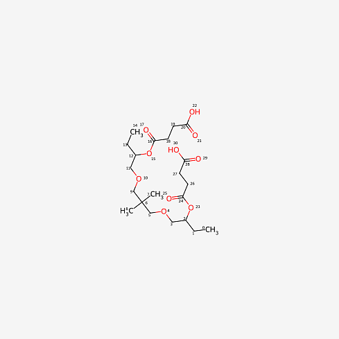 CCC(COCC(C)(C)COCC(CC)OC(=O)CCC(=O)O)OC(=O)CCC(=O)O